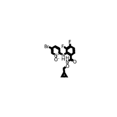 O=C(NOCC1CC1)c1ccc(F)c(F)c1Nc1ccc(Br)c[n+]1[O-]